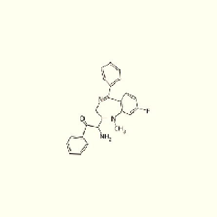 CN1c2cc(F)ccc2C(c2ccccc2)=NCC1C(N)C(=O)c1ccccc1